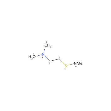 CNSCCN(C)C